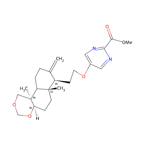 C=C1CCC2[C@]3(C)COCO[C@@H]3CC[C@@]2(C)[C@@H]1CCOc1cnc(C(=O)OC)nc1